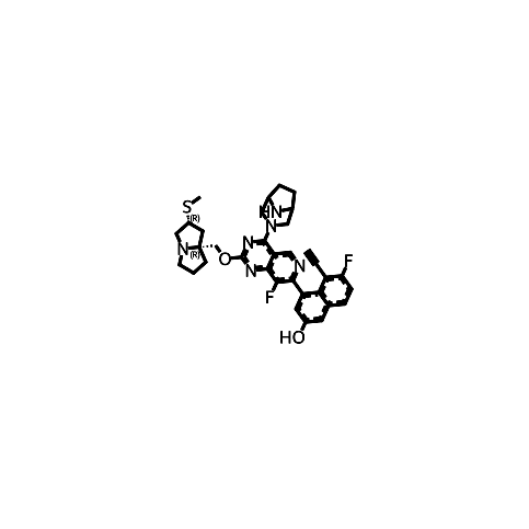 C#Cc1c(F)ccc2cc(O)cc(-c3ncc4c(N5CC6CCC(C5)N6)nc(OC[C@]56CCCN5C[C@H](SC)C6)nc4c3F)c12